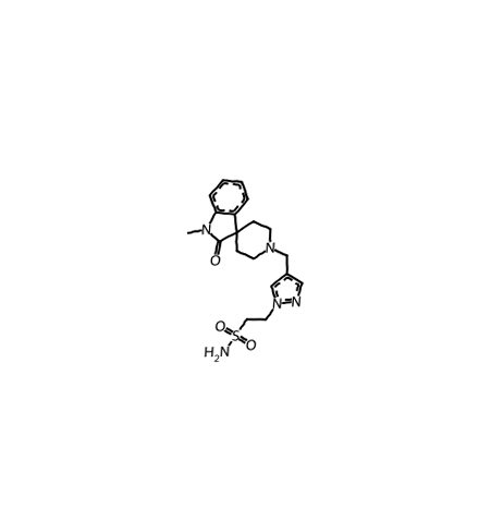 CN1C(=O)C2(CCN(Cc3cnn(CCS(N)(=O)=O)c3)CC2)c2ccccc21